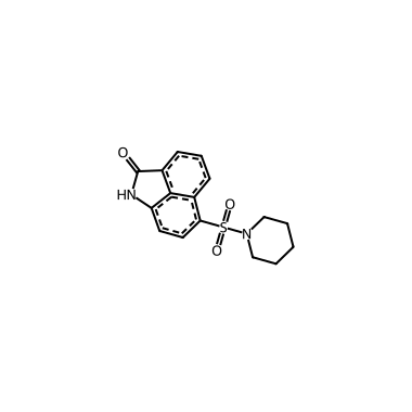 O=C1Nc2ccc(S(=O)(=O)N3CCCCC3)c3cccc1c23